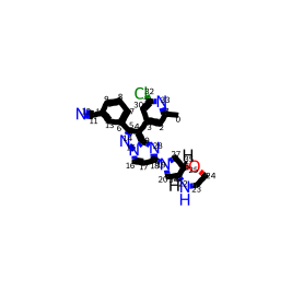 Cc1cc(-c2c(-c3cccc(C#N)c3)nn3ccc(N4C[C@@H]5NCCO[C@H]5C4)nc23)cc(Cl)n1